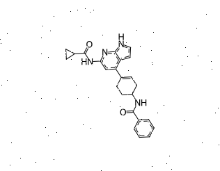 O=C(NC1CC=C(c2cc(NC(=O)C3CC3)nc3[nH]ccc23)CC1)c1ccccc1